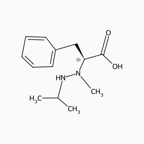 CC(C)NN(C)[C@@H](Cc1ccccc1)C(=O)O